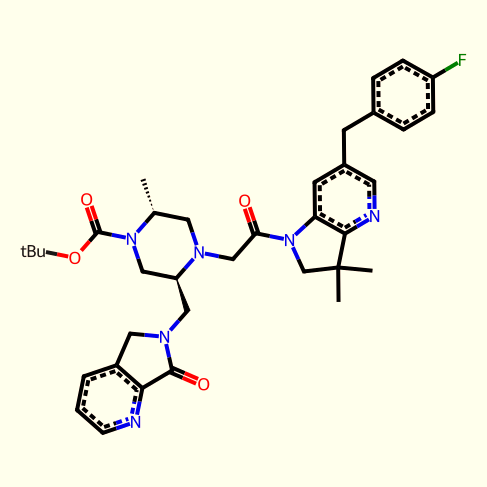 C[C@@H]1CN(CC(=O)N2CC(C)(C)c3ncc(Cc4ccc(F)cc4)cc32)[C@@H](CN2Cc3cccnc3C2=O)CN1C(=O)OC(C)(C)C